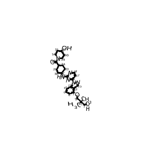 CC(C)(CO)COc1cccc2c1cnn2-c1ccnc(NC2CCC(C(=O)N3CCC(O)CC3)CC2)n1